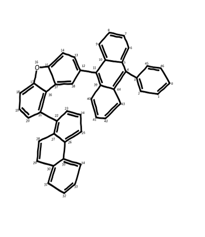 c1ccc(-c2c3ccccc3c(-c3ccc4oc5cccc(-c6cccc7c6ccc6ccccc67)c5c4c3)c3ccccc23)cc1